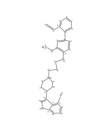 COc1cc(-c2ccccc2C=O)ccc1OCCCN1CCC(c2noc3cccc(F)c23)CC1